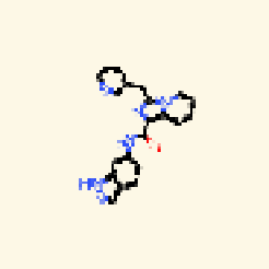 O=C(Nc1ccc2cn[nH]c2c1)c1nc(Cc2cccnc2)n2ccccc12